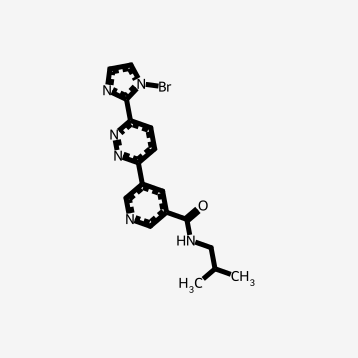 CC(C)CNC(=O)c1cncc(-c2ccc(-c3nccn3Br)nn2)c1